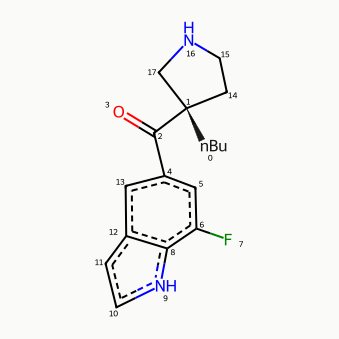 CCCC[C@]1(C(=O)c2cc(F)c3[nH]ccc3c2)CCNC1